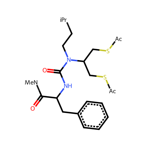 CNC(=O)C(Cc1ccccc1)NC(=O)N(CCC(C)C)C(CSC(C)=O)CSC(C)=O